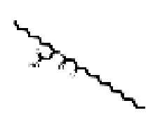 CCCCCCCCCCCC(O)CC(=O)OC(CCCCCCC)CC(=O)O